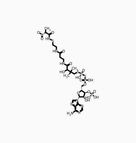 CC(C(=O)NSCCNC(=O)CCNC(=O)C(O)C(C)(C)CSP(=O)(O)SP(=O)(O)OC[C@H]1O[C@@H](n2cnc3c(N)ncnc32)[C@H](O)[C@@H]1OP(=O)(O)O)[N+](=O)[O-]